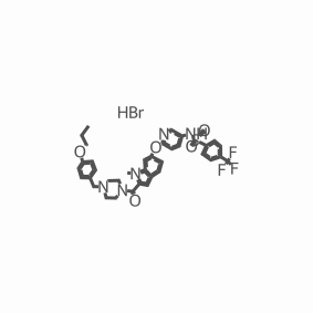 Br.CCCOc1ccc(CN2CCN(C(=O)c3cc4ccc(Oc5ccc(NS(=O)(=O)c6ccc(C(F)(F)F)cc6)cn5)cc4n3C)CC2)cc1